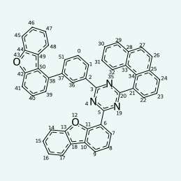 c1cc(-c2nc(-c3cccc4c3oc3ccccc34)nc(-c3cccc4ccc5ccccc5c34)n2)cc(-c2cccc3oc4ccccc4c23)c1